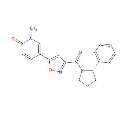 Cn1cc(-c2cc(C(=O)N3CCC[C@H]3c3ccccc3)no2)ccc1=O